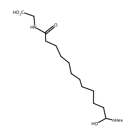 CCCCCCC(O)CCCCCCCCCCC(=O)NCC(=O)O